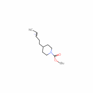 CC(C)(C)OC(=O)N1CCC(CC/C=C/C#N)CC1